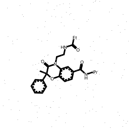 CCC(=O)NCCN1C(=O)C(C)(c2ccccc2)Oc2ccc(C(=O)NC(C)C)cc21